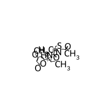 CCC[C@H](NC(=O)[C@]1(C)CSC(C(C)=O)=N1)c1cc(OC)cc(=O)o1